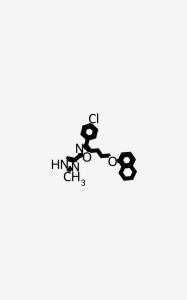 Cc1nc(-c2nc(-c3ccc(Cl)cc3)c(CCCOc3cccc4c3CCCC4)o2)c[nH]1